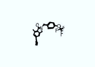 C#Cc1cc(C)c2c(c1)CN(Cc1ccc(OC(F)(F)F)cc1)C2=O